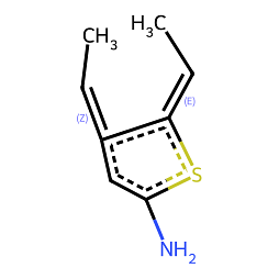 C/C=c1/cc(N)s/c1=C/C